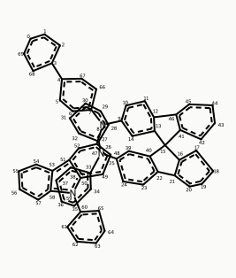 c1ccc(-c2ccc(N(c3ccc4c(c3)C3(c5ccccc5-c5ccc(N(c6ccccc6)c6ccccc6)cc53)c3ccccc3-4)c3ccc4c(c3)c3ccccc3n4-c3ccccc3)cc2)cc1